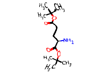 CC(C)(C)OC(=O)CC[C@@H](N)C(=O)OC(C)(C)C